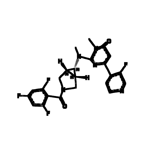 CN(c1nc(-c2ccncc2F)cc(=O)n1C)[C@@H]1[C@@H]2CN(C(=O)c3c(F)cc(F)cc3F)C[C@@H]21